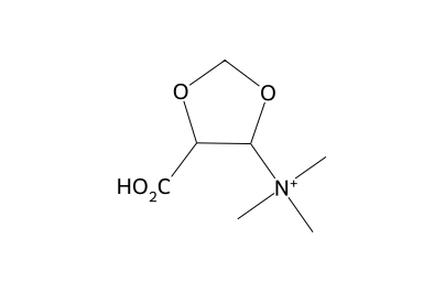 C[N+](C)(C)C1OCOC1C(=O)O